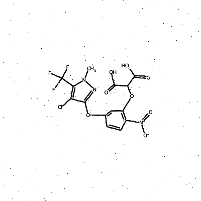 Cn1nc(Oc2ccc([N+](=O)[O-])c(OC(C(=O)O)C(=O)O)c2)c(Cl)c1C(F)(F)F